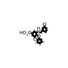 O=C(O)c1cc(NCc2cccc(Cl)c2)c(Oc2ccccc2)c(C(F)(F)F)c1